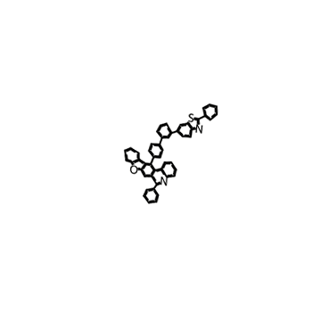 c1ccc(-c2nc3ccc(-c4cccc(-c5ccc(-c6c7c(cc8c(-c9ccccc9)nc9ccccc9c68)oc6ccccc67)cc5)c4)cc3s2)cc1